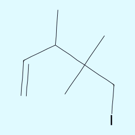 C=CC(C)C(C)(C)CI